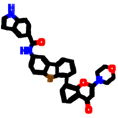 O=C(Nc1ccc2sc3c(-c4cccc5c(=O)cc(N6CCOCC6)oc45)cccc3c2c1)c1ccc2[nH]ccc2c1